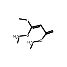 C=C(C=C(OC)O[SiH2]C)O[SiH2]C